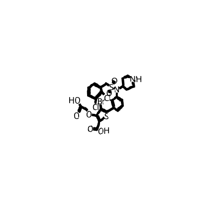 O=C(O)COc1c(C(=O)O)sc(-c2cccc(N(C3CCNCC3)S(=O)(=O)Cc3cccc(Cl)c3Cl)c2)c1Br